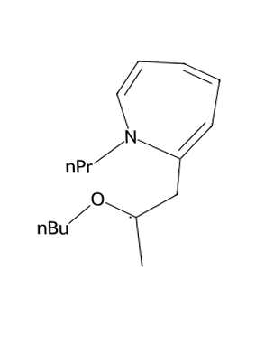 CCCCO[C](C)CC1=CC=CC=CN1CCC